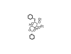 CCO[C@@H]1[C@@H](OCC)[C@H](Sc2ccccc2)O[C@@H]2CO[C@@H](c3ccccc3)O[C@@H]12